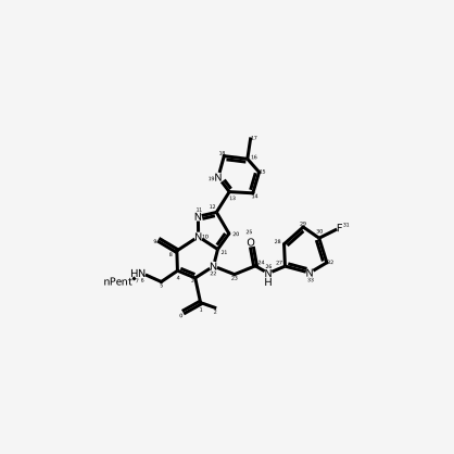 C=C(C)C1=C(CNCCCCC)C(=C)n2nc(-c3ccc(C)cn3)cc2N1CC(=O)Nc1ccc(F)cn1